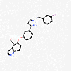 OCc1c(Oc2cccc(-c3ccn(Cc4cccc(I)c4)n3)c2)ccc2[nH]ccc12